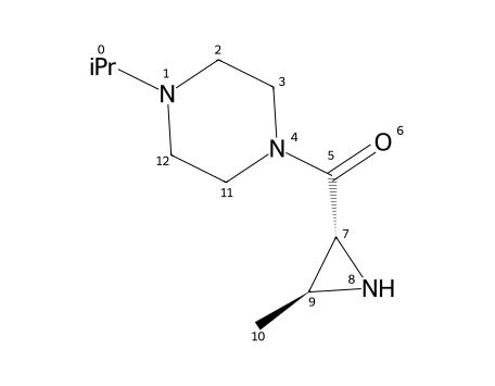 CC(C)N1CCN(C(=O)[C@@H]2N[C@H]2C)CC1